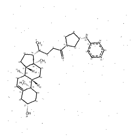 CC(CCC(=O)N1CC[C@H](Nc2ccncn2)C1)[C@H]1CC[C@H]2[C@@H]3CC=C4C[C@@H](O)CC[C@]4(C)[C@H]3CC[C@]12C